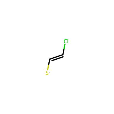 [S]/C=C/Cl